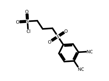 [C-]#[N+]c1ccc(S(=O)(=O)CCCS(=O)(=O)Cl)cc1[N+]#[C-]